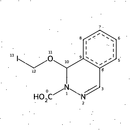 O=C(O)N1N=Cc2ccccc2C1OCI